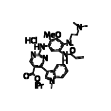 C=CC(=O)Nc1cc(Nc2ncc(C(=O)OC(C)C)c(-c3cn(C)c4ccccc34)n2)c(OC)cc1N(C)CCN(C)C.Cl